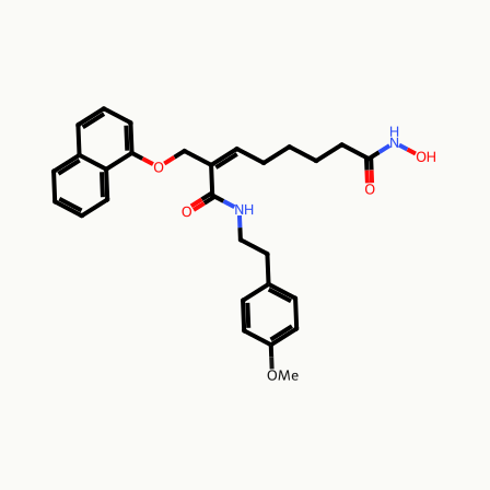 COc1ccc(CCNC(=O)C(=CCCCCC(=O)NO)COc2cccc3ccccc23)cc1